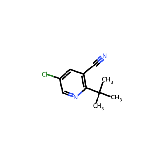 CC(C)(C)c1ncc(Cl)cc1C#N